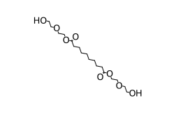 O=C(CCCCCCCCC(=O)OCCOCCO)OCCOCCO